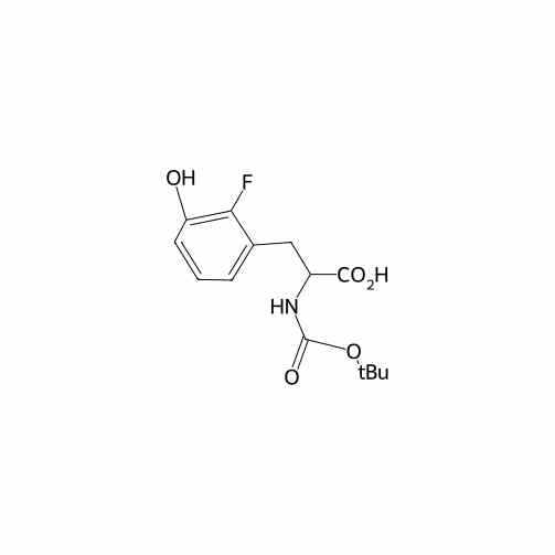 CC(C)(C)OC(=O)NC(Cc1cccc(O)c1F)C(=O)O